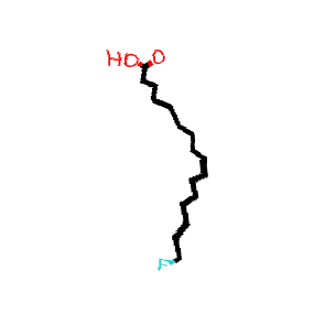 O=C(O)CCCCCCC/C=C\CCCCCCF